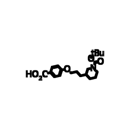 CC(C)(C)OC(=O)N1CCCC(CCCOc2ccc(C(=O)O)cc2)C1